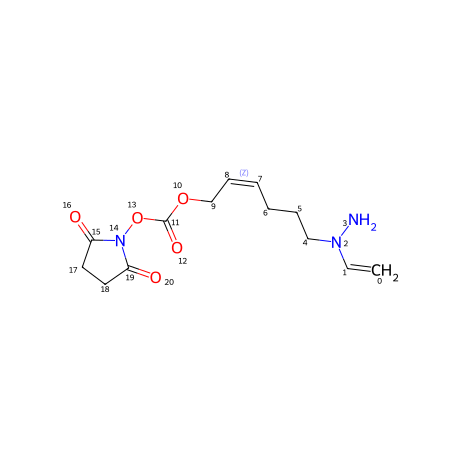 C=CN(N)CCC/C=C\COC(=O)ON1C(=O)CCC1=O